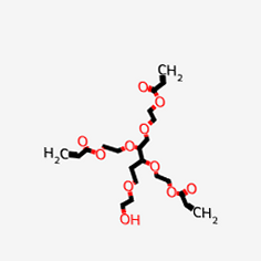 C=CC(=O)OCCOCC(OCCOC(=O)C=C)C(CCOCCO)OCCOC(=O)C=C